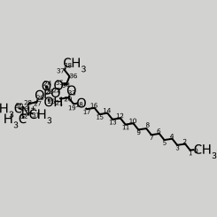 CCCCCCCCCCCCCCCCCCOCC(COP(=O)(O)OCC[N+](C)(C)C)OC(=O)CCC